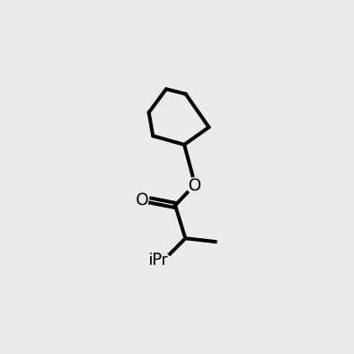 CC(C)C(C)C(=O)OC1CCCCC1